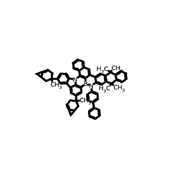 CC1(c2ccc3c(c2)c2cc(C4(C)CC=C5CC5C4)cc4c2n3-c2c3c(cc5ccccc25)-c2cc5c(cc2N(c2ccc(-c6ccccc6)cc2)B34)C(C)(C)c2ccccc2C5(C)C)CC=C2CC2C1